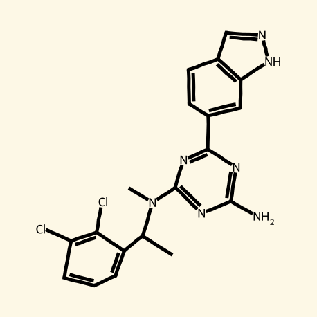 CC(c1cccc(Cl)c1Cl)N(C)c1nc(N)nc(-c2ccc3cn[nH]c3c2)n1